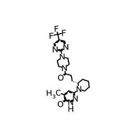 Cc1cc(N2CCCC[C@H]2CCC(=O)N2CCN(c3ncc(C(F)(F)F)cn3)CC2)n[nH]c1=O